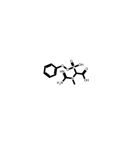 CN(C(=N)N)C(C(=O)O)P(=O)(O)OOc1ccccc1